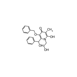 Cc1c(O)n(CCO)c(C(O)c2ccccc2)c(OCc2ccccc2)c1=O